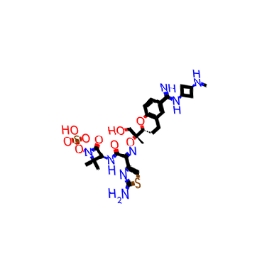 CN[C@H]1C[C@@H](NC(=N)c2ccc3c(c2)CC[C@H]([C@@](C)(CO)O/N=C(\C(=O)N[C@@H]2C(=O)N(OS(=O)(=O)O)C2(C)C)c2csc(N)n2)O3)C1